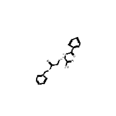 O=C(CC[C@H](NC(=O)c1ccccc1)C(=O)O)OCc1ccccc1